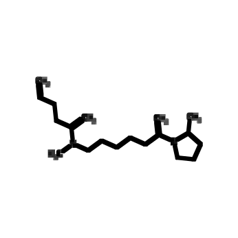 C=CCCC(=C)N(C)CCCCCC(=C)N1CCCC1C